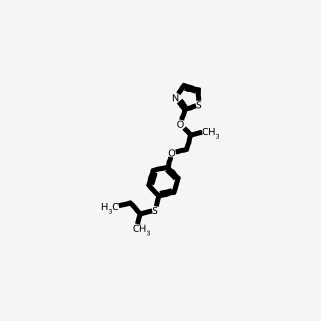 CCC(C)Sc1ccc(OCC(C)Oc2nccs2)cc1